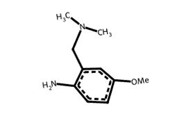 COc1ccc(N)c(CN(C)C)c1